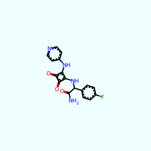 NC(=O)C(Nc1c(Nc2ccncc2)c(=O)c1=O)c1ccc(F)cc1